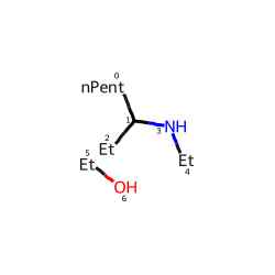 CCCCCC(CC)NCC.CCO